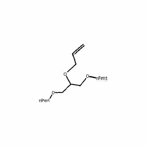 C=CCOC(COCCCCC)COCCCCC